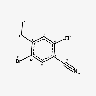 CCc1cc(Cl)c(C#N)cc1Br